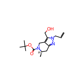 C=CCn1nc2c(c1CO)CN(C(=O)OC(C)(C)C)[C@H](C)C2